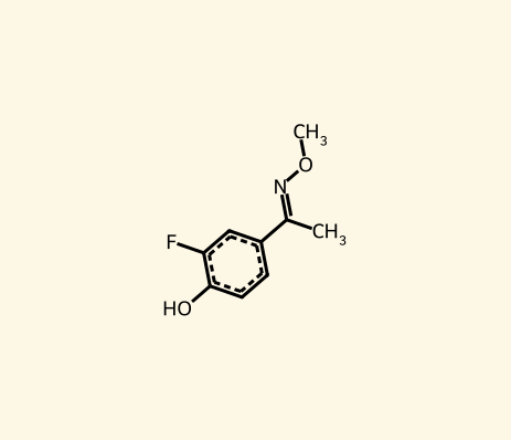 CON=C(C)c1ccc(O)c(F)c1